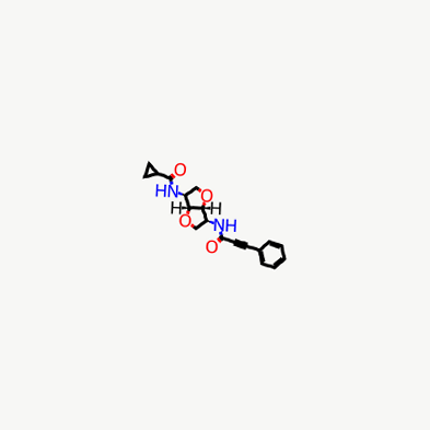 O=C(C#Cc1ccccc1)N[C@H]1CO[C@H]2[C@@H]1OC[C@@H]2NC(=O)C1CC1